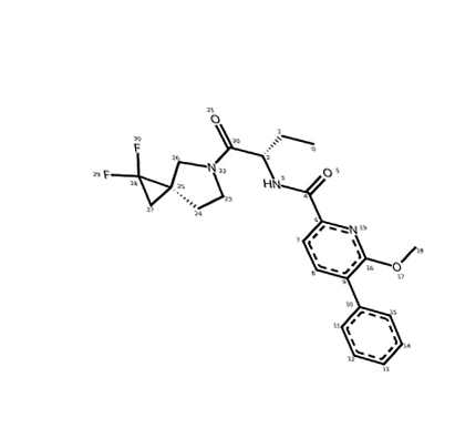 CC[C@H](NC(=O)c1ccc(-c2ccccc2)c(OC)n1)C(=O)N1CC[C@]2(C1)CC2(F)F